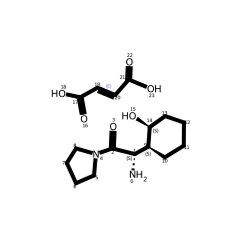 N[C@H](C(=O)N1CCCC1)[C@@H]1CCCC[C@@H]1O.O=C(O)/C=C/C(=O)O